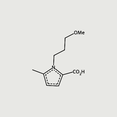 COCCCn1c(C)ccc1C(=O)O